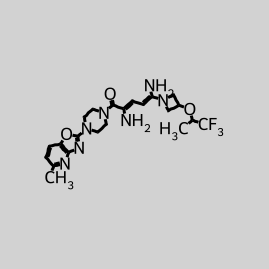 Cc1ccc2oc(N3CCN(C(=O)/C(N)=C/C=C(\N)N4CC(OC(C)C(F)(F)F)C4)CC3)nc2n1